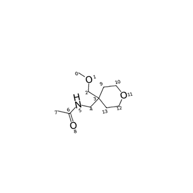 COCC1(CNC(C)=O)CCOCC1